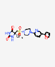 C[C@]1(CS(=O)(=O)N2CCN(c3ccc(-c4ccco4)cn3)CC2)NC(=O)NC1=O